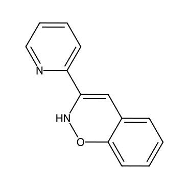 C1=C(c2ccccn2)NOc2ccccc21